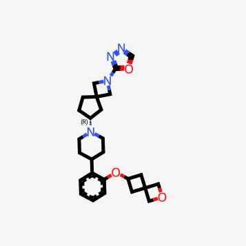 c1ccc(C2CCN([C@@H]3CCC4(C3)CN(c3nnco3)C4)CC2)c(OC2CC3(COC3)C2)c1